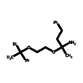 CCC(C)(OCCOC(C)(N)CCC(C)C)C(C)C